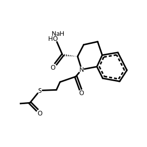 CC(=O)SCCC(=O)N1c2ccccc2CC[C@H]1C(=O)O.[NaH]